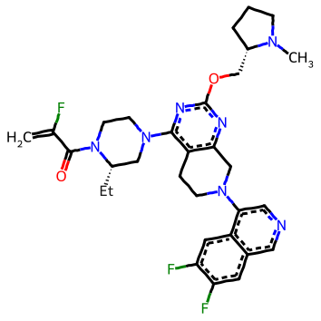 C=C(F)C(=O)N1CCN(c2nc(OC[C@@H]3CCCN3C)nc3c2CCN(c2cncc4cc(F)c(F)cc24)C3)C[C@@H]1CC